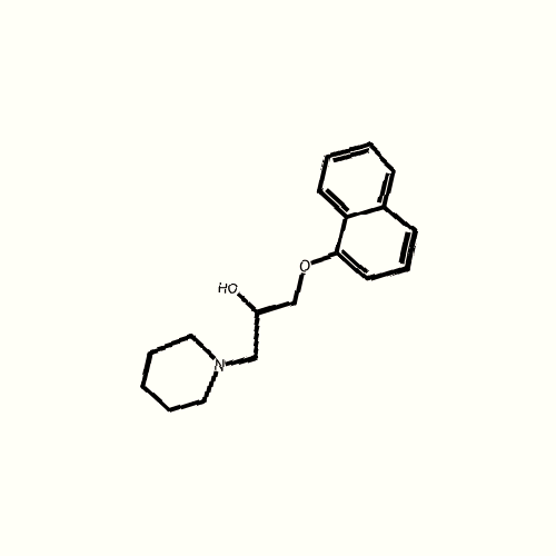 OC(COc1cccc2ccccc12)CN1CCCCC1